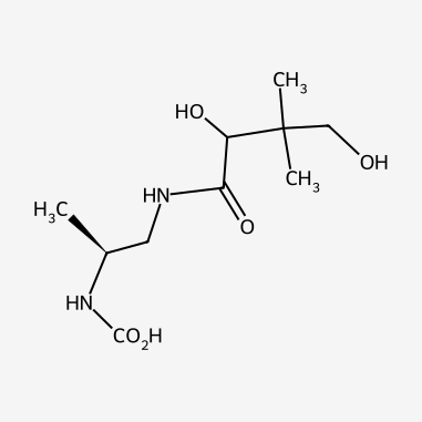 C[C@@H](CNC(=O)C(O)C(C)(C)CO)NC(=O)O